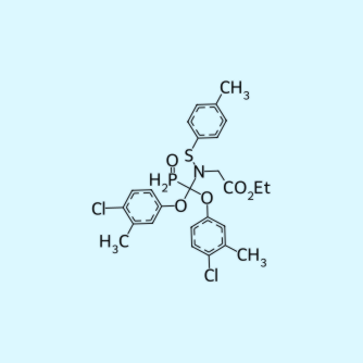 CCOC(=O)CN(Sc1ccc(C)cc1)C(Oc1ccc(Cl)c(C)c1)(Oc1ccc(Cl)c(C)c1)[PH2]=O